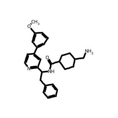 COc1cccc(-c2ccnc(C(Cc3ccccc3)NC(=O)C3CCC(CN)CC3)c2)c1